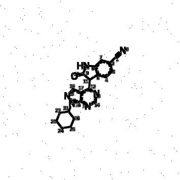 N#Cc1ccc2c(c1)NC(=O)C2c1ncnc2c1cnn2C1CCCCC1